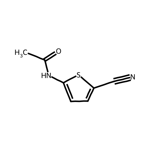 CC(=O)Nc1ccc(C#N)s1